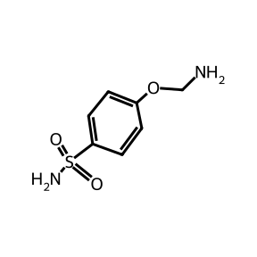 NCOc1ccc(S(N)(=O)=O)cc1